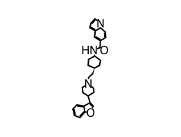 O=C(N[C@H]1CC[C@H](CCN2CCC(c3coc4ccccc34)CC2)CC1)c1ccc2ncccc2c1